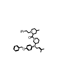 CC(C)=CCN(c1ccc(OCc2ccccc2)cc1)C1CCCN(C(=O)C2CC(C)CCN2CCC(C)C)C1